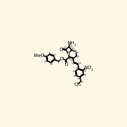 COc1ccc(COC(=O)C2=C(/C=C/c3ccc(CCl)cc3[N+](=O)[O-])CSC3C(N)C(=O)N23)cc1